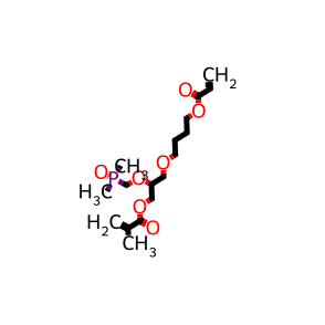 C=CC(=O)OCCCCOCC(COC(=O)C(=C)C)OCP(C)(C)=O